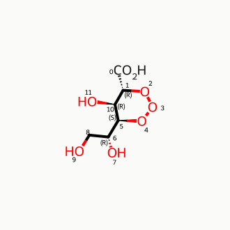 O=C(O)[C@@H]1OOO[C@@H]([C@H](O)CO)[C@H]1O